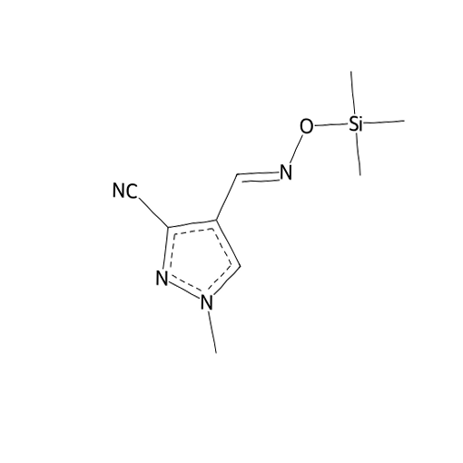 Cn1cc(C=NO[Si](C)(C)C)c(C#N)n1